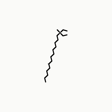 CCCCC[CH]CCCCCCCC[Si](C)(CC)CC